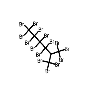 BrC(Br)(Br)[C](C(Br)(Br)Br)C(Br)(Br)C(Br)(Br)C(Br)(Br)C(Br)(Br)Br